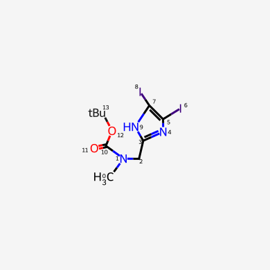 CN(Cc1nc(I)c(I)[nH]1)C(=O)OC(C)(C)C